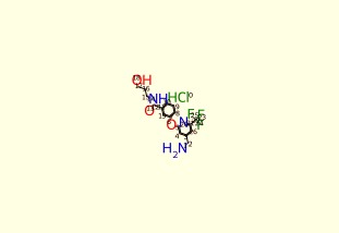 Cl.NCc1cc(Oc2cccc(C(=O)NCCCO)c2)nc(C(F)(F)F)c1